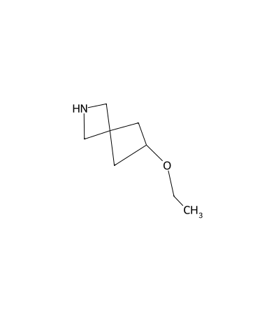 CCOC1CC2(CNC2)C1